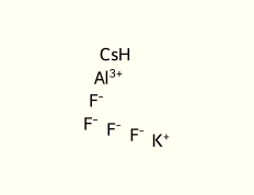 [Al+3].[CsH].[F-].[F-].[F-].[F-].[K+]